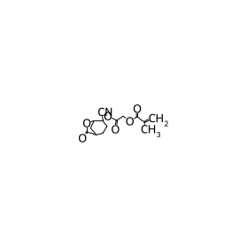 C=C(C)C(=O)OCC(=O)OC1(C#N)CCC2CC1OC2=O